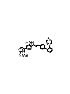 CNc1nccc(-c2ccc3c(/C=C/c4ccc(-c5ccccc5N5CCN(C)CC5)cc4)n[nH]c3c2)n1